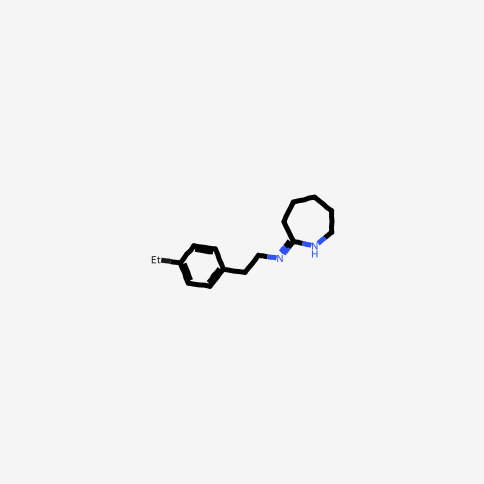 CCc1ccc(CCN=C2CCCCCN2)cc1